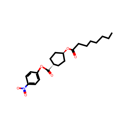 CCCCCCCC(=O)O[C@H]1CC[C@H](C(=O)Oc2ccc([N+](=O)[O-])cc2)CC1